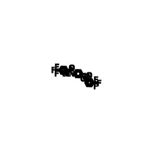 O=C(N[C@H]1CC[C@H](CS(=O)(=O)c2cccc(C(F)(F)F)c2)CC1)c1ccc(C(F)(F)F)cn1